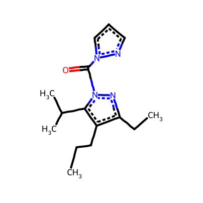 CCCc1c(CC)nn(C(=O)n2cccn2)c1C(C)C